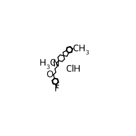 Cc1ccc2c(c1)CC1(CCC(N(C)CCCC(=O)c3ccc(F)cc3)CC1)C2.Cl